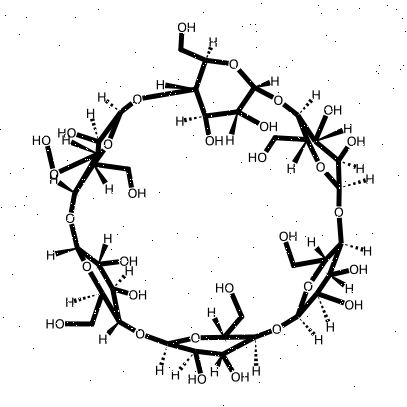 OC[C@H]1O[C@@H]2O[C@H]3[C@H](O)[C@@H](O)[C@@H](O[C@H]4[C@H](O)[C@@H](O)[C@@H](O[C@H]5[C@H](O)[C@@H](O)[C@@H](O[C@H]6[C@H](O)[C@@H](O)[C@@H](O[C@H]7[C@H](O)[C@@H](O)[C@@H](O[C@@H]1[C@H](OO)[C@H]2O)O[C@@H]7CO)O[C@@H]6CO)O[C@@H]5CO)O[C@@H]4CO)O[C@@H]3CO